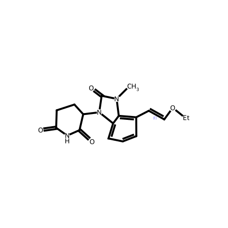 CCO/C=C/c1cccc2c1n(C)c(=O)n2C1CCC(=O)NC1=O